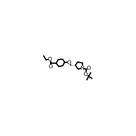 CCOC(=O)C1CCC(OC[C@@H]2CCN(C(=O)OC(C)(C)C)C2)CC1